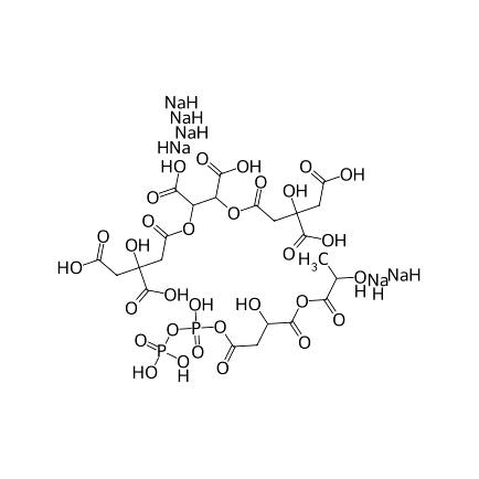 CC(O)C(=O)OC(=O)C(O)CC(=O)OP(=O)(O)OP(=O)(O)O.O=C(O)CC(O)(CC(=O)OC(C(=O)O)C(OC(=O)CC(O)(CC(=O)O)C(=O)O)C(=O)O)C(=O)O.[NaH].[NaH].[NaH].[NaH].[NaH].[NaH]